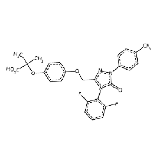 CC(C)(Oc1ccc(OCc2nn(-c3ccc(C(F)(F)F)cc3)c(=O)n2-c2c(F)cccc2F)cc1)C(=O)O